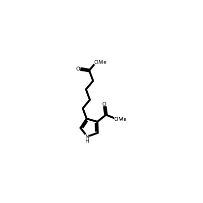 COC(=O)CCCCc1c[nH]cc1C(=O)OC